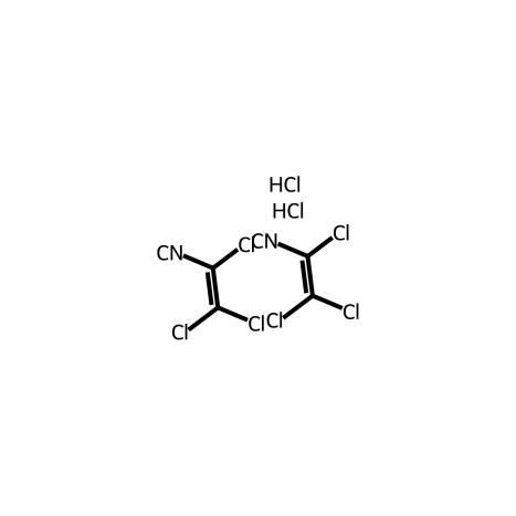 Cl.Cl.[C-]#[N+]C(Cl)=C(Cl)Cl.[C-]#[N+]C(Cl)=C(Cl)Cl